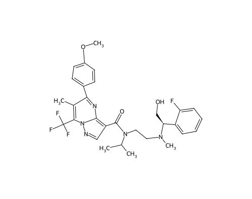 COc1ccc(-c2nc3c(C(=O)N(CCN(C)[C@@H](CO)c4ccccc4F)C(C)C)cnn3c(C(F)(F)F)c2C)cc1